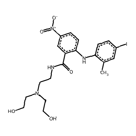 Cc1cc(I)ccc1Nc1ccc([N+](=O)[O-])cc1C(=O)NCCN(CCO)CCO